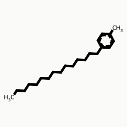 CCCCCCCCCCCCCCCc1ccc(C)cc1